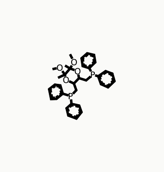 COC1(C)OC(CP(c2ccccc2)c2ccccc2)C(CP(c2ccccc2)c2ccccc2)OC1(C)OC